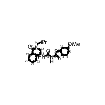 COc1ccc2nc(NC(=O)Nc3cn(CC(C)C)c(=O)c4ccccc34)sc2c1